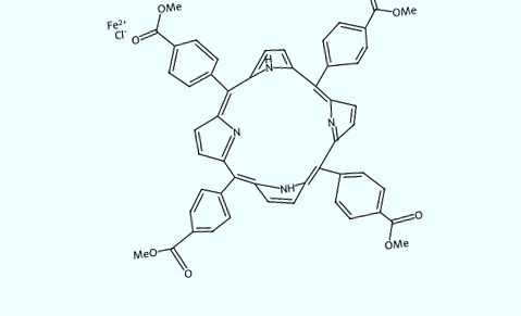 COC(=O)c1ccc(-c2c3nc(c(-c4ccc(C(=O)OC)cc4)c4ccc([nH]4)c(-c4ccc(C(=O)OC)cc4)c4nc(c(-c5ccc(C(=O)OC)cc5)c5ccc2[nH]5)C=C4)C=C3)cc1.[Cl-].[Cl-].[Fe+2]